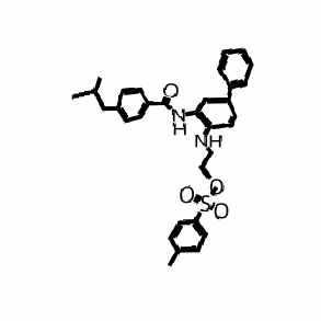 Cc1ccc(S(=O)(=O)OCCNc2ccc(-c3ccccc3)cc2NC(=O)c2ccc(CC(C)C)cc2)cc1